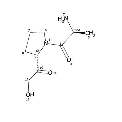 C[C@H](N)C(=O)N1CCC[C@H]1C(=O)CO